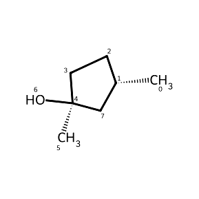 C[C@H]1CC[C@](C)(O)C1